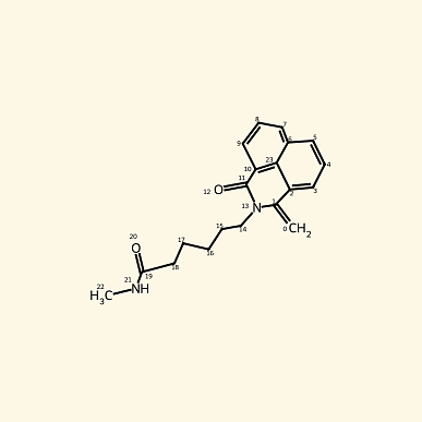 C=c1c2cccc3cccc(c(=O)n1CCCCCC(=O)NC)c32